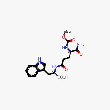 CCCCOC(=O)N[C@H](CCC(=O)N[C@H](Cc1c[nH]c2ccccc12)C(=O)O)C(N)=O